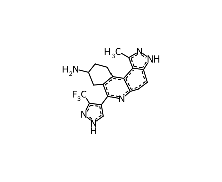 Cc1n[nH]c2ccc3nc(-c4c[nH]nc4C(F)(F)F)c4c(c3c12)CCC(N)C4